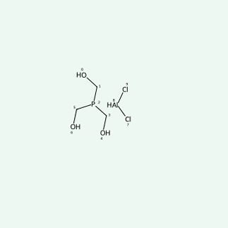 OCP(CO)CO.[Cl][AlH][Cl]